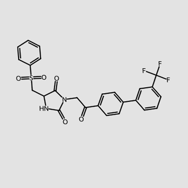 O=C(CN1C(=O)NC(CS(=O)(=O)c2ccccc2)C1=O)c1ccc(-c2cccc(C(F)(F)F)c2)cc1